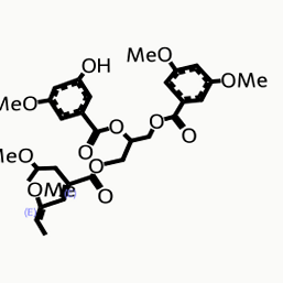 C/C=C(\C=C(/CC(C)OC)C(=O)OCC(COC(=O)c1cc(OC)cc(OC)c1)OC(=O)c1cc(O)cc(OC)c1)OC